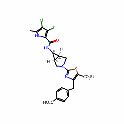 CCOC(=O)c1sc(N2C[C@@H]3[C@H](C2)[C@@H]3NC(=O)c2[nH]c(C)c(Cl)c2Cl)nc1Cc1ccc(C(=O)O)cc1